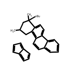 C1=CC2=CC=CC2=C1.CCCCC1(C)CC(C)Cc2c1ccc1c2ccc2ccccc21